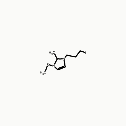 CSN1C=CN(CCCI)C1C